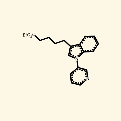 CCOC(=O)CCCCc1cn(-c2cccnc2)c2ccccc12